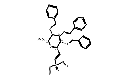 CCOP(=O)(C=C[C@H]1O[C@H](OC)[C@@H](OCc2ccccc2)[C@@H](OCc2ccccc2)[C@@H]1OCc1ccccc1)OCC